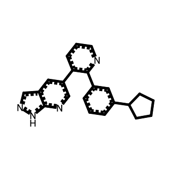 c1cc(-c2ncccc2-c2cnc3[nH]ncc3c2)cc(C2CCCC2)c1